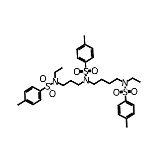 CCN(CCCCN(CCCN(CC)S(=O)(=O)c1ccc(C)cc1)S(=O)(=O)c1ccc(C)cc1)S(=O)(=O)c1ccc(C)cc1